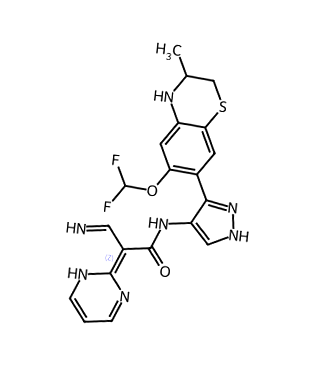 CC1CSc2cc(-c3n[nH]cc3NC(=O)/C(C=N)=C3\N=CC=CN3)c(OC(F)F)cc2N1